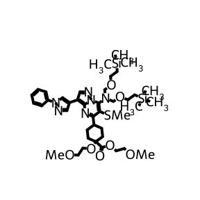 COCCOC(=O)C1(OCCOC)CCC(c2nc3c(-c4cnn(-c5ccccc5)c4)cnn3c(N(COCC[Si](C)(C)C)COCC[Si](C)(C)C)c2SC)CC1